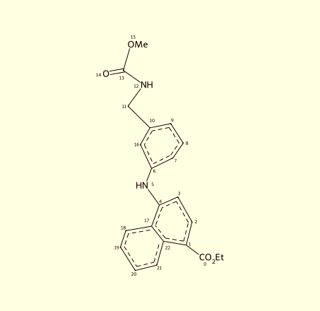 CCOC(=O)c1ccc(Nc2cccc(CNC(=O)OC)c2)c2ccccc12